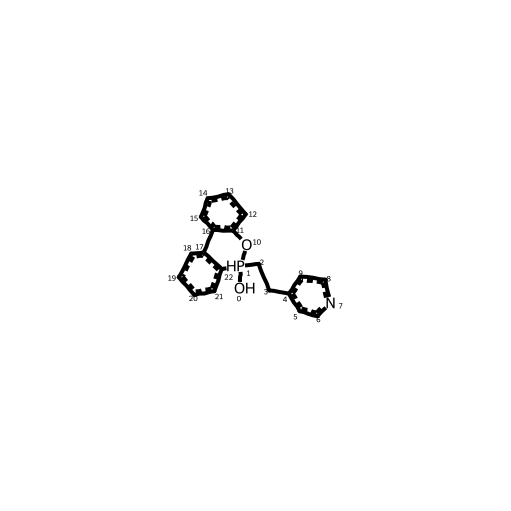 O[PH]1(CCc2ccncc2)Oc2ccccc2-c2ccccc21